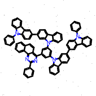 c1ccc(-c2nc(-c3cc(-n4c5ccccc5c5ccc(-c6ccc7c(c6)c6ccccc6n7-c6ccccc6)cc54)cc(-n4c5ccccc5c5ccc(-c6ccc7c(c6)c6ccccc6n7-c6ccccc6)cc54)c3)c3ccc4ccccc4c3n2)cc1